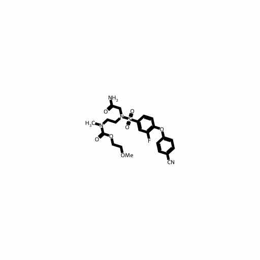 COCCOC(=O)N(C)CCN(CC(N)=O)S(=O)(=O)c1ccc(Oc2ccc(C#N)cc2)c(F)c1